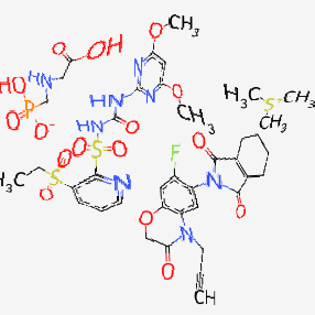 C#CCN1C(=O)COc2cc(F)c(N3C(=O)C4=C(CCCC4)C3=O)cc21.CCS(=O)(=O)c1cccnc1S(=O)(=O)NC(=O)Nc1nc(OC)cc(OC)n1.C[S+](C)C.O=C(O)CNCP(=O)([O-])O